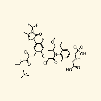 CCOC(=O)C(Cl)Cc1cc(-n2nc(C)n(C(F)F)c2=O)c(F)cc1Cl.CCc1cccc(C)c1N(C(=O)CCl)C(C)COC.C[S+](C)C.O=C(O)CNCP(=O)([O-])O